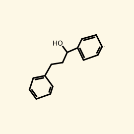 OC(CCc1ccccc1)c1cc[c]cc1